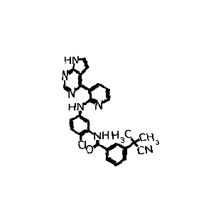 CC(C)(C#N)c1cccc(C(=O)Nc2cc(Nc3ncccc3-c3ncnc4[nH]ccc34)ccc2Cl)c1